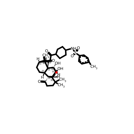 C=C1C(=O)[C@]23[C@H](OC(=O)C4CCC(NS(=O)(=O)c5ccc(C)cc5)CC4)[C@H]1CC[C@H]2[C@@]12CO[C@@]3(O)[C@@H](O)[C@@H]1C(C)(C)CCC2=O